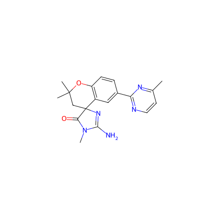 Cc1ccnc(-c2ccc3c(c2)C2(CC(C)(C)O3)N=C(N)N(C)C2=O)n1